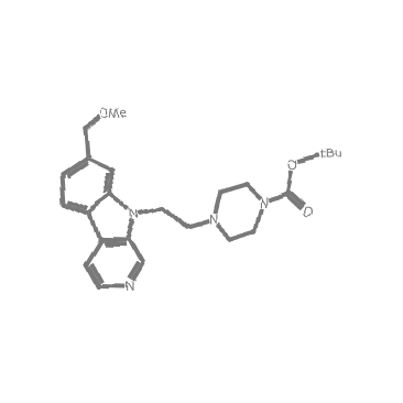 COCc1ccc2c3ccncc3n(CCN3CCN(C(=O)OC(C)(C)C)CC3)c2c1